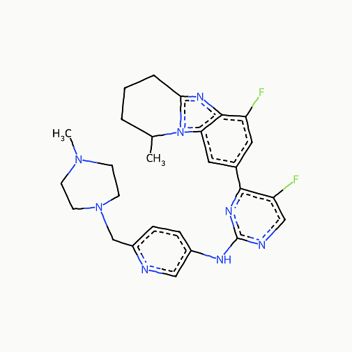 CC1CCCc2nc3c(F)cc(-c4nc(Nc5ccc(CN6CCN(C)CC6)nc5)ncc4F)cc3n21